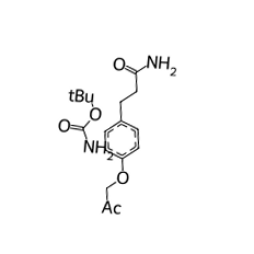 CC(=O)COc1ccc(CCC(N)=O)cc1.CC(C)(C)OC(N)=O